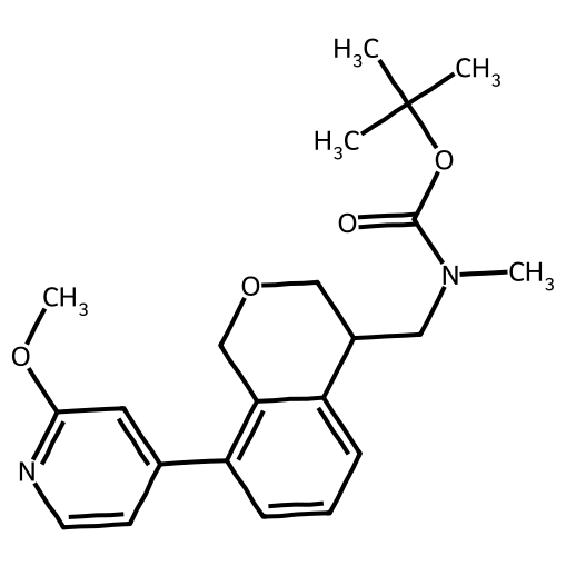 COc1cc(-c2cccc3c2COCC3CN(C)C(=O)OC(C)(C)C)ccn1